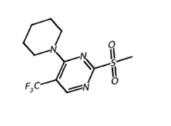 CS(=O)(=O)c1ncc(C(F)(F)F)c(N2CCCCC2)n1